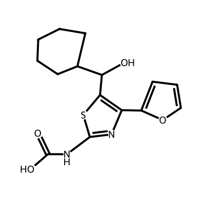 O=C(O)Nc1nc(-c2ccco2)c(C(O)C2CCCCC2)s1